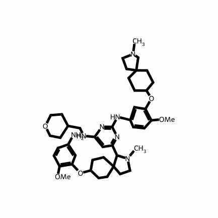 COc1ccc(Nc2nc(NCC3CCOCC3)cc(C3N(C)CCC34CCC(Oc3cc(N)ccc3OC)CC4)n2)cc1OC1CCC2(CC1)CCN(C)C2